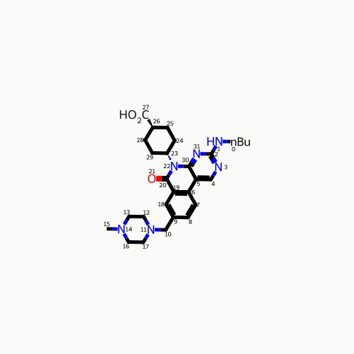 CCCCNc1ncc2c3ccc(CN4CCN(C)CC4)cc3c(=O)n([C@H]3CC[C@H](C(=O)O)CC3)c2n1